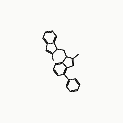 CC1=Cc2ccccc2C1CC1C(C)=Cc2c(-c3ccccc3)cccc21